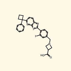 O=C(O)C1CN(Cc2ccc(-c3nc4ccc(C5(c6ccccc6)CCC5)nc4s3)c(F)c2)C1